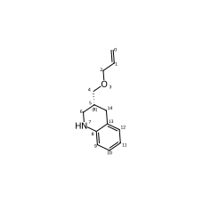 C=CCOC[C@H]1CNc2ccccc2C1